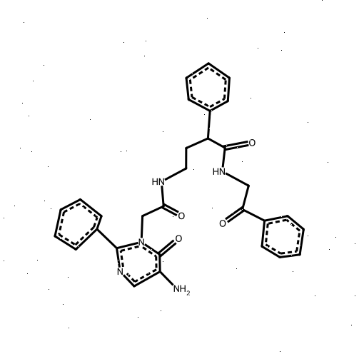 Nc1cnc(-c2ccccc2)n(CC(=O)NCCC(C(=O)NCC(=O)c2ccccc2)c2ccccc2)c1=O